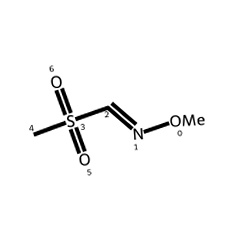 CON=CS(C)(=O)=O